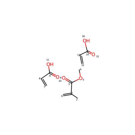 C=C(C)C(=O)OC.C=CC(=O)O.C=CC(=O)O